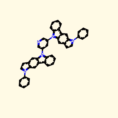 c1ccc(-n2ccc3cc4c(cc32)c2ccccc2n4-c2cncc(-n3c4ccccc4c4cc5c(ccn5-c5ccccc5)cc43)c2)cc1